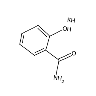 NC(=O)c1ccccc1O.[KH]